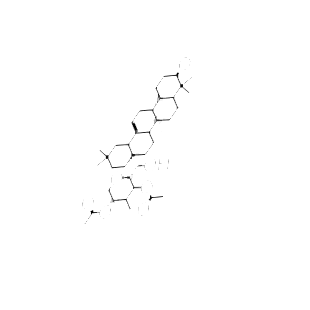 CC(=O)OC1C(C)[C@H](OC(C)=O)CO[C@H]1C(O)[C@@]12CCC3C(=CCC4[C@@]3(C)CCC3C(C)(C)C(=O)CC[C@@]34C)C1CC(C)(C)CC2